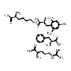 Cc1cc(O)cc(C)c1CC(N)C(=O)O.N=C(N)NCCCC(N)C(=O)O.NC(Cc1ccccc1)C(=O)O.NCCCCC(N)C(N)=O